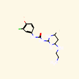 CC1CC(NCCN)NC(NC(=O)Nc2ccc(OC(F)(F)F)c(Cl)c2)N1